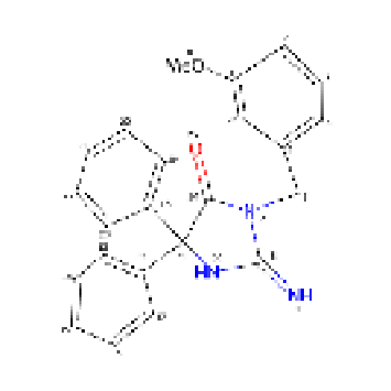 COc1cccc(CN2C(=N)NC(c3ccccc3)(c3ccccc3)C2=O)c1